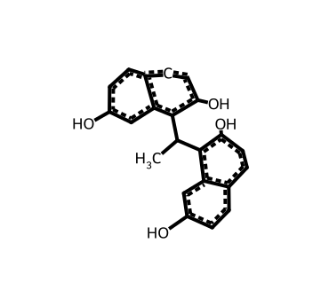 CC(c1c(O)ccc2ccc(O)cc12)c1c(O)ccc2ccc(O)cc12